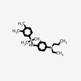 CCCN(CC)c1ccc(NS(C)(C)c2ccc(C)c(C)c2)cc1